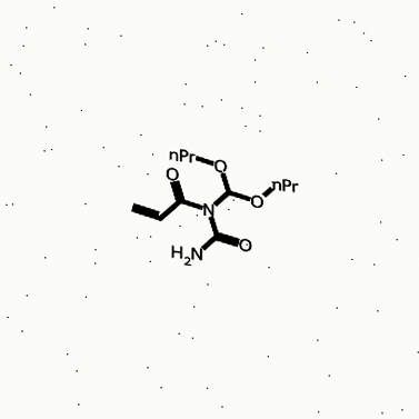 C=CC(=O)N(C(N)=O)C(OCCC)OCCC